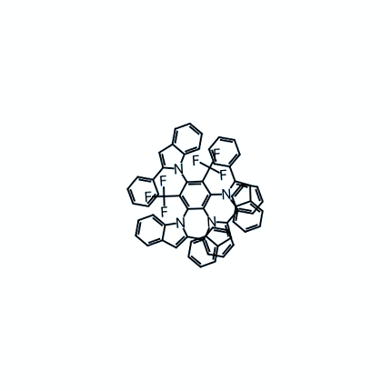 FC(F)(F)c1c(-n2c(-c3ccccc3)cc3ccccc32)c(-n2c(-c3ccccc3)cc3ccccc32)c(-n2c(-c3ccccc3)cc3ccccc32)c(C(F)(F)F)c1-n1c(-c2ccccc2)cc2ccccc21